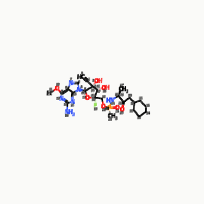 C#C[C@]1(O)[C@H](n2cnc3c(OCC)nc(N)nc32)O[C@](F)(CO[P@](C)(=O)N[C@@H](C)C(=O)CC2CCCCC2)[C@H]1O